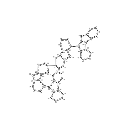 c1ccc2c(c1)nc1n(-c3cccc4c3oc3ccc(-c5ccc6oc7cccc(-n8c9ccccc9c9ccccc98)c7c6c5)cc34)c3ccccc3n21